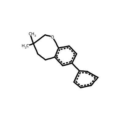 CC1(C)CCc2cc(-c3ccccc3)ccc2OC1